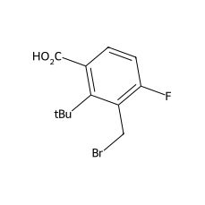 CC(C)(C)c1c(C(=O)O)ccc(F)c1CBr